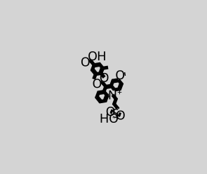 COc1ccc2c(c1)c(C(=O)Oc1c(C)cc(C(=O)O)cc1C)c1ccccc1[n+]2CCCS(=O)(=O)O